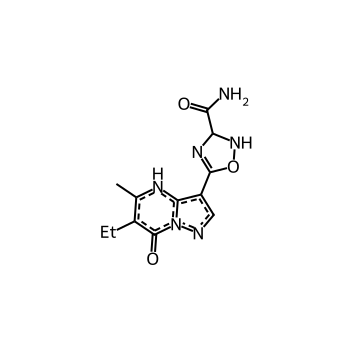 CCc1c(C)[nH]c2c(C3=NC(C(N)=O)NO3)cnn2c1=O